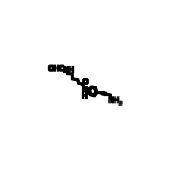 NCC#Cc1ccc(NC(=O)CCCCCNC=O)cc1